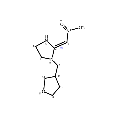 O=[N+]([O-])/C=C1\NCCN1CC1CCOC1